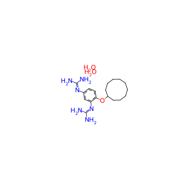 NC(N)=Nc1ccc(OC2CCCCCCCCC2)c(N=C(N)N)c1.O.O